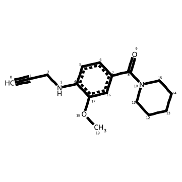 C#CCNc1ccc(C(=O)N2CCCCC2)cc1OC